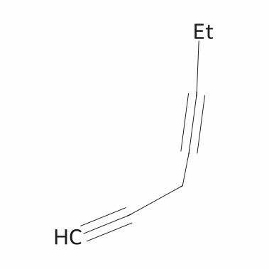 C#CCC#CC[CH2]